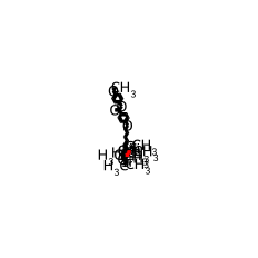 COc1ccc(OC(=O)c2ccc(OCCCCC[Si](C)(O[Si](C)(C)C)O[Si](C)(C)O[Si](C)(C)C)cc2)cc1